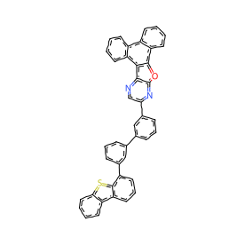 c1cc(-c2cccc(-c3cccc4c3sc3ccccc34)c2)cc(-c2cnc3c(n2)oc2c4ccccc4c4ccccc4c32)c1